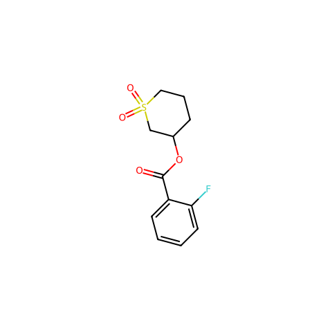 O=C(OC1CCCS(=O)(=O)C1)c1ccccc1F